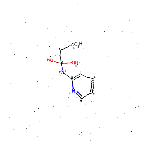 O=C(O)CC(O)(O)Nc1ccccn1